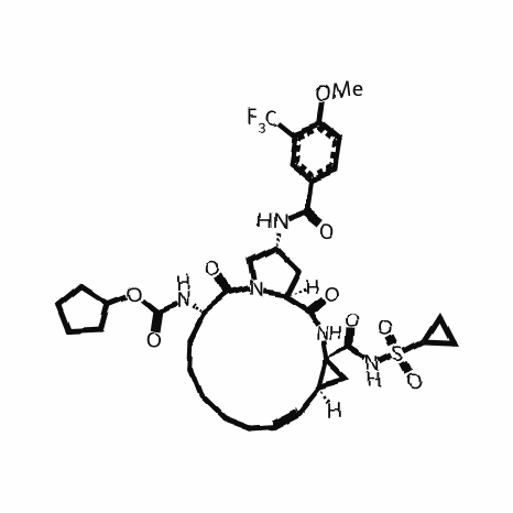 COc1ccc(C(=O)N[C@@H]2C[C@H]3C(=O)N[C@]4(C(=O)NS(=O)(=O)C5CC5)C[C@H]4/C=C\CCCCC[C@H](NC(=O)OC4CCCC4)C(=O)N3C2)cc1C(F)(F)F